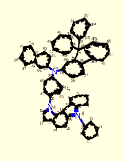 c1ccc(-n2c3ccccc3c3c4c(ccc32)ccn4-c2ccc(N(c3ccc4c(c3)C(c3ccccc3)(c3ccccc3)c3ccccc3-4)c3ccc4ccccc4c3)cc2)cc1